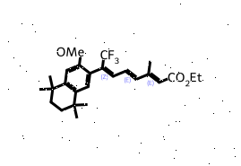 CCOC(=O)/C=C(C)/C=C/C=C(/c1cc2c(cc1OC)C(C)(C)CCC2(C)C)C(F)(F)F